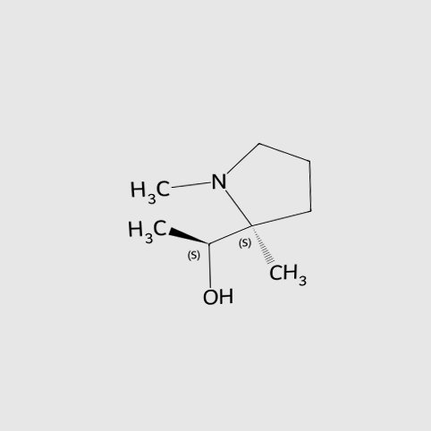 C[C@H](O)[C@]1(C)CCCN1C